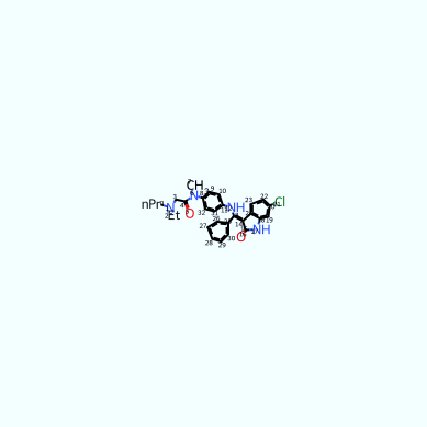 CCCN(CC)CC(=O)N(C)c1ccc(NC(=C2C(=O)Nc3cc(Cl)ccc32)c2ccccc2)cc1